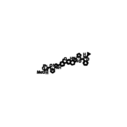 COC(=O)N[C@H](C(=O)N1CCC[C@H]1c1ncc(-c2ccc3c(c2)COc2cc4c(cc2-3)CCc2nc([C@@H]3CCCN3C(=O)[C@H](NC(=O)C3CC3)c3ccccc3)[nH]c2-4)[nH]1)C(C)C